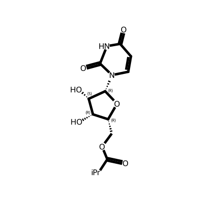 CC(C)C(=O)OC[C@H]1O[C@@H](n2ccc(=O)[nH]c2=O)[C@@H](O)[C@H]1O